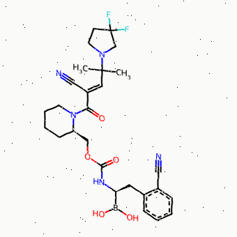 CC(C)(/C=C(\C#N)C(=O)N1CCCC[C@@H]1COC(=O)N[C@@H](Cc1ccccc1C#N)B(O)O)N1CCC(F)(F)C1